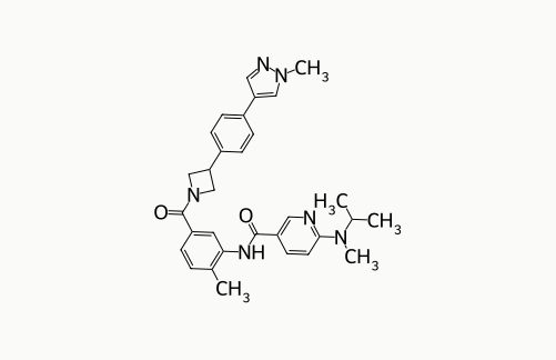 Cc1ccc(C(=O)N2CC(c3ccc(-c4cnn(C)c4)cc3)C2)cc1NC(=O)c1ccc(N(C)C(C)C)nc1